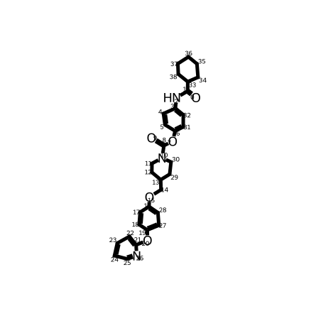 O=C(Nc1ccc(OC(=O)N2CCC(COc3ccc(Oc4ccccn4)cc3)CC2)cc1)C1CCCCC1